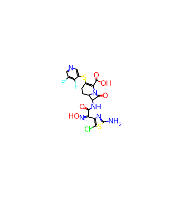 Nc1nc(/C(=N/O)C(=O)NC2C(=O)N3C(C(=O)O)=C(Sc4cncc(F)c4F)CCC23)c(Cl)s1